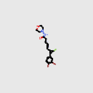 O=C(/C=C/C=C/C1C(F)C1c1ccc(Br)c(Br)c1)NN1CCOCC1